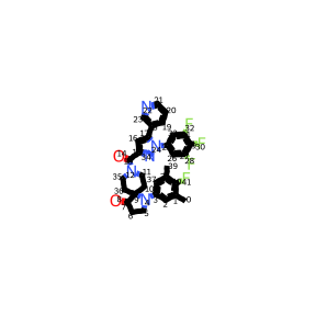 Cc1cc(N2CCC(=O)C23CCN(C(=O)c2cc(-c4cccnc4)n(-c4cc(F)c(F)c(F)c4)n2)CC3)cc(C)c1F